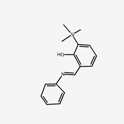 C[Si](C)(C)c1cccc(/C=N/c2ccccc2)c1O